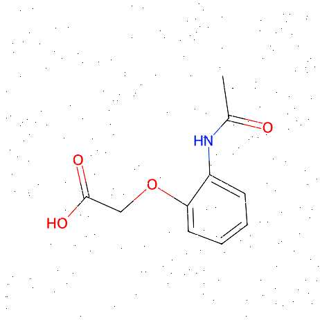 CC(=O)Nc1ccccc1OCC(=O)O